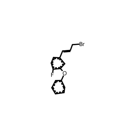 Fc1ccc(C=CCBr)cc1Oc1ccccc1